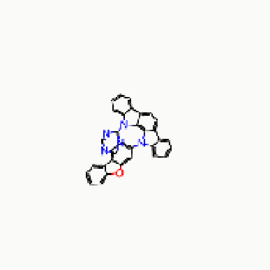 c1ccc2c(c1)oc1cc(-n3c4ccccc4c4ccc5c6ccccc6n(-c6ncncn6)c5c43)ccc12